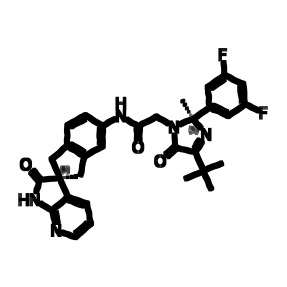 CC(C)(C)C1=N[C@](C)(c2cc(F)cc(F)c2)N(CC(=O)Nc2ccc3c(c2)C[C@@]2(C3)C(=O)Nc3ncccc32)C1=O